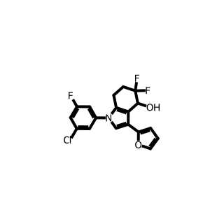 OC1c2c(-c3ccco3)cn(-c3cc(F)cc(Cl)c3)c2CCC1(F)F